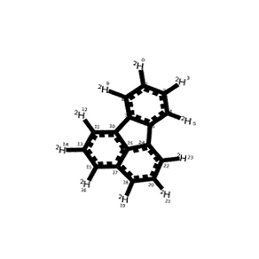 [2H]c1c([2H])c([2H])c2c(c1[2H])-c1c([2H])c([2H])c([2H])c3c([2H])c([2H])c([2H])c-2c13